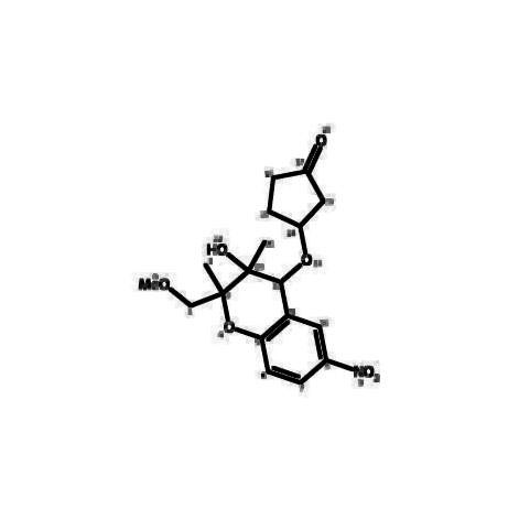 COCC1(C)Oc2ccc([N+](=O)[O-])cc2C(OC2CCC(=O)C2)C1(C)O